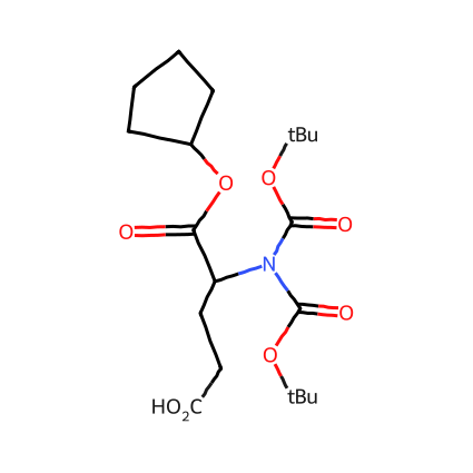 CC(C)(C)OC(=O)N(C(=O)OC(C)(C)C)C(CCC(=O)O)C(=O)OC1CCCC1